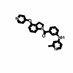 Cc1cc(Nc2cccc(C(=O)N3CCc4c(Oc5ccncc5)cccc43)c2)ccn1